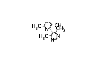 Cc1ccc(C)c(-c2c(C)ncnc2C)n1